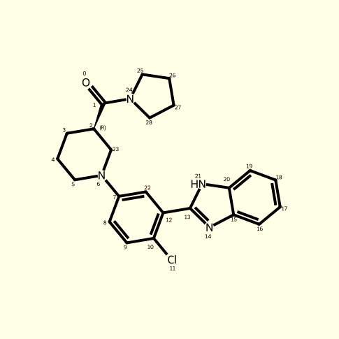 O=C([C@@H]1CCCN(c2ccc(Cl)c(-c3nc4ccccc4[nH]3)c2)C1)N1CCCC1